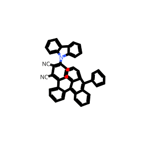 N#Cc1c(-c2ccccc2-c2c3ccccc3c(-c3ccccc3)c3ccccc23)ccc(-n2c3ccccc3c3ccccc32)c1C#N